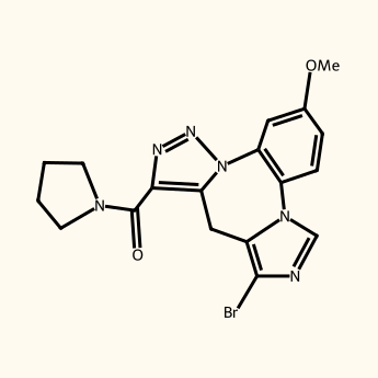 COc1ccc2c(c1)-n1nnc(C(=O)N3CCCC3)c1Cc1c(Br)ncn1-2